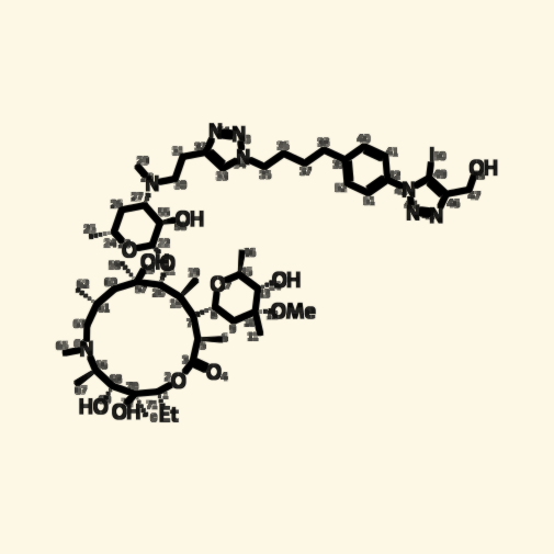 CC[C@H]1OC(=O)[C@H](C)C([C@H]2C[C@@](C)(OC)[C@@H](O)[C@H](C)O2)[C@H](C)[C@@H](O[C@@H]2O[C@H](C)C[C@H](N(C)CCc3cn(CCCCc4ccc(-n5nnc(CO)c5I)cc4)nn3)[C@H]2O)[C@](C)(O)C[C@@H](C)CN(C)[C@H](C)[C@@H](O)[C@]1(C)O